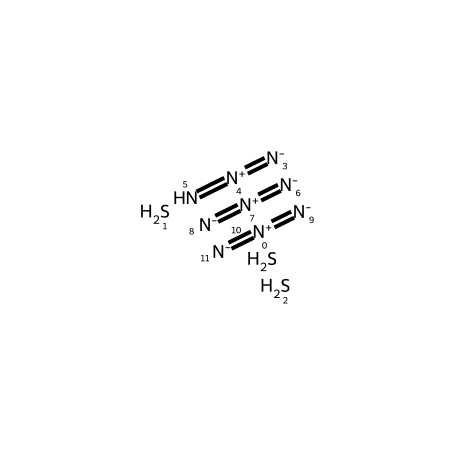 S.S.S.[N-]=[N+]=N.[N-]=[N+]=[N-].[N-]=[N+]=[N-]